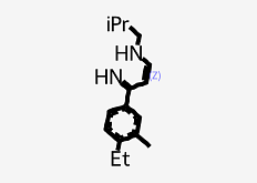 CCc1ccc(C(=N)/C=C\NCC(C)C)cc1C